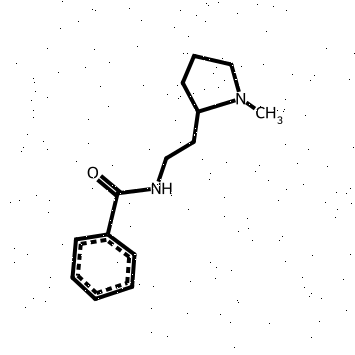 CN1CCCC1CCNC(=O)c1ccccc1